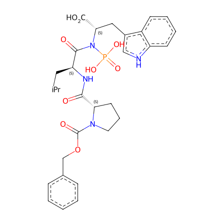 CC(C)C[C@H](NC(=O)[C@@H]1CCCN1C(=O)OCc1ccccc1)C(=O)N([C@@H](Cc1c[nH]c2ccccc12)C(=O)O)P(=O)(O)O